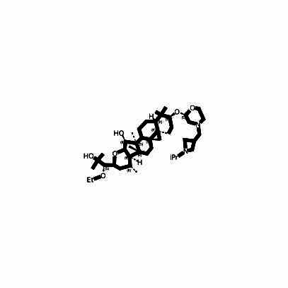 CCO[C@@H](C1C[C@@H](C)[C@H]2C(O1)[C@H](O)[C@@]1(C)C3CC[C@H]4C(C)(C)[C@@H](O[C@H]5CN(CC6CN(C(C)C)C6)CCO5)CC[C@@]45C[C@@]35CC[C@]21C)C(C)(C)O